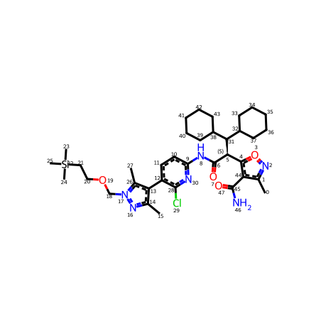 Cc1noc([C@@H](C(=O)Nc2ccc(-c3c(C)nn(COCC[Si](C)(C)C)c3C)c(Cl)n2)C(C2CCCCC2)C2CCCCC2)c1C(N)=O